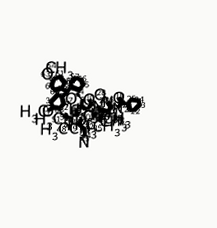 COc1ccc(C(OC[C@H]2O[C@@H](n3cc(C)c(NC(=O)c4ccccc4)nc3=O)C(O[Si](C)(C)C(C)(C)C)[C@H]2OP(OCCC#N)N(C(C)C)C(C)C)(c2ccccc2)c2ccc(OC)cc2)cc1